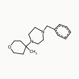 CC1(N2CCN(Cc3ccccc3)CC2)CCOCC1